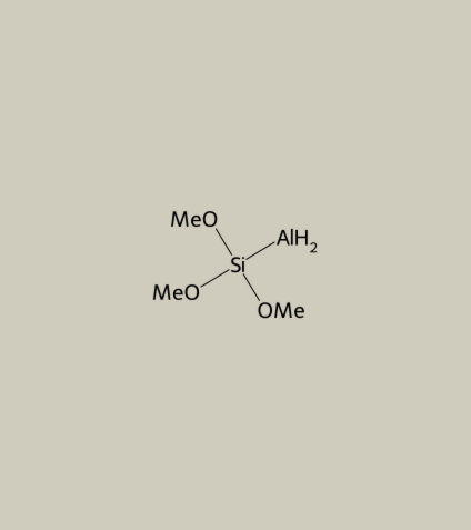 CO[Si]([AlH2])(OC)OC